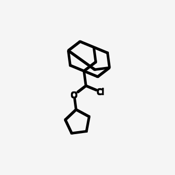 ClC(OC1CCCC1)C12CC3CC(CC(C3)C1)C2